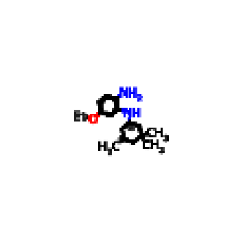 CCOc1ccc(N)c(N[C@@H]2C[C@H](C)CC(C)(C)C2)c1